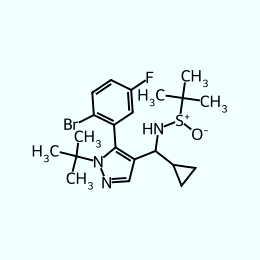 CC(C)(C)n1ncc(C(N[S+]([O-])C(C)(C)C)C2CC2)c1-c1cc(F)ccc1Br